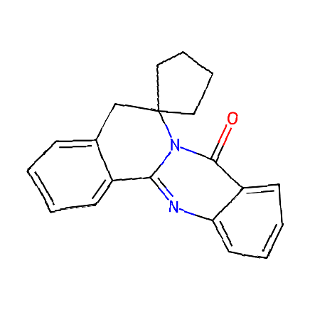 O=c1c2ccccc2nc2n1C1(CCCC1)Cc1ccccc1-2